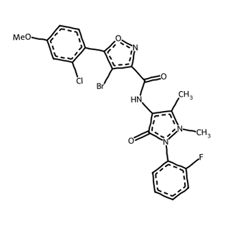 COc1ccc(-c2onc(C(=O)Nc3c(C)n(C)n(-c4ccccc4F)c3=O)c2Br)c(Cl)c1